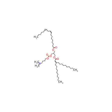 CCCCC/C=C\C/C=C\CCCCCCCC(=O)OCC(COC(=O)C=C(CCCCCCCCCC)CCCCCCCCCC)COC(=O)OCCCCN(C)C